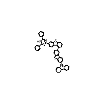 C1=CC2C(CC1)c1ccccc1N2c1ccc2c(c1)sc1ccc(-c3cccc4sc5cc(C6=NC(c7ccccc7)NC(c7ccccc7)=N6)ccc5c34)cc12